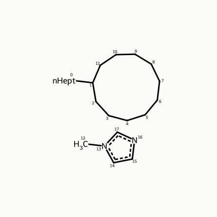 CCCCCCCC1CCCCCCCCCC1.Cn1ccnc1